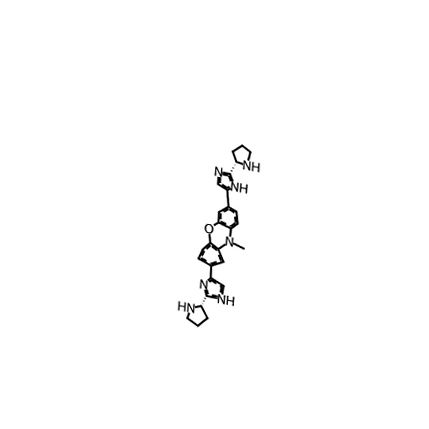 CN1c2ccc(-c3cnc([C@@H]4CCCN4)[nH]3)cc2Oc2ccc(-c3c[nH]c([C@@H]4CCCN4)n3)cc21